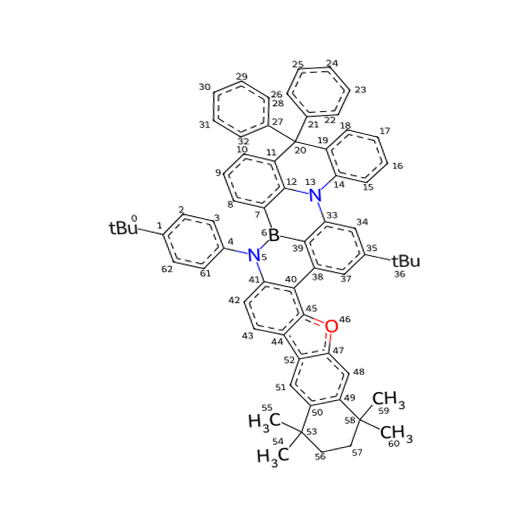 CC(C)(C)c1ccc(N2B3c4cccc5c4N(c4ccccc4C5(c4ccccc4)c4ccccc4)c4cc(C(C)(C)C)cc(c43)-c3c2ccc2c3oc3cc4c(cc32)C(C)(C)CCC4(C)C)cc1